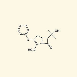 CC(C)(O)C1C(=O)C2C(C(=O)O)=C(Sc3ccccc3)CC21